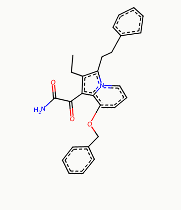 CCc1c(C(=O)C(N)=O)c2c(OCc3ccccc3)cccn2c1CCc1ccccc1